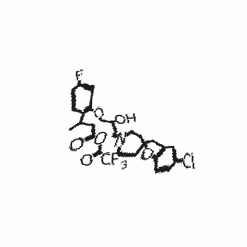 CC(CC(=O)OC(=O)C(F)(F)F)c1ccc(F)cc1OC[C@H](O)CN1CCC2(CC1)Cc1cc(Cl)ccc1O2